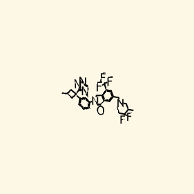 CC1CC(c2cccc(N3Cc4c(cc(CN5CCC(F)(F)C(C)C5)cc4C(F)(F)F)C3=O)c2)(c2nncn2C)C1